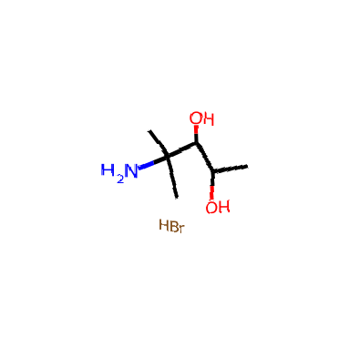 Br.CC(O)C(O)C(C)(C)N